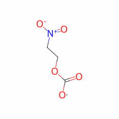 [O]C(=O)OCC[N+](=O)[O-]